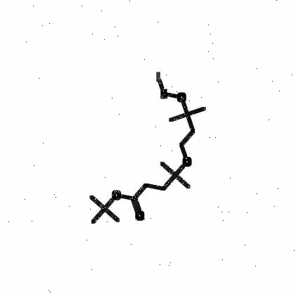 CC(C)(C)OC(=O)CCC(C)(C)OCCC(C)(C)OSI